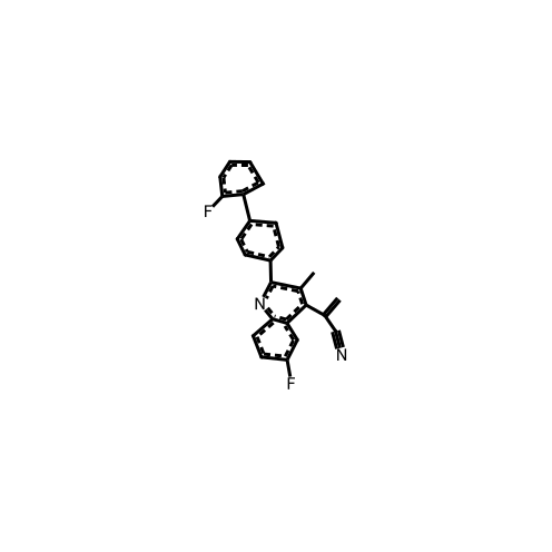 C=C(C#N)c1c(C)c(-c2ccc(-c3ccccc3F)cc2)nc2ccc(F)cc12